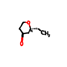 CC[C@@H]1CC(=O)CCO1